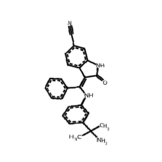 CC(C)(N)c1cccc(N/C(=C2\C(=O)Nc3cc(C#N)ccc32)c2ccccc2)c1